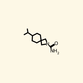 CC(C)C1CCC2(CC1)CN(C(N)=O)C2